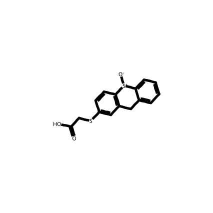 O=C(O)CSc1ccc2c(c1)Cc1ccccc1[S+]2[O-]